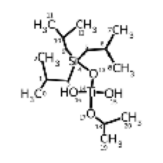 CC(C)C[Si](CC(C)C)(CC(C)C)[O][Ti]([OH])([OH])[O]C(C)C